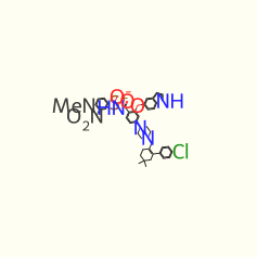 CNc1ccc([S+]([O-])NC(=O)c2ccc(N3CCN(CC4=C(c5ccc(Cl)cc5)CC(C)(C)CC4)CC3)cc2Oc2ccc3[nH]ccc3c2)cc1[N+](=O)[O-]